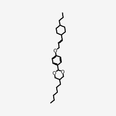 CCCCCCC1COC(c2ccc(OCC=CC3CCC(CCC)CC3)cc2)OC1